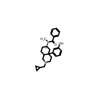 CN(C(=O)c1ccccc1)[C@@H]1CCC2CN(CC3CC3)CCC2(c2cccc(O)c2)C1